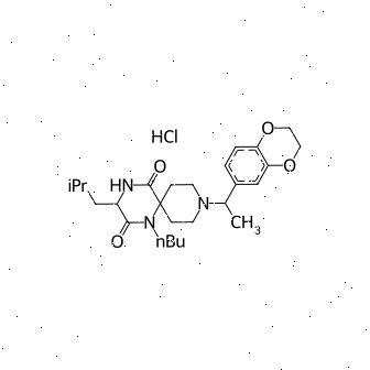 CCCCN1C(=O)C(CC(C)C)NC(=O)C12CCN(C(C)c1ccc3c(c1)OCCO3)CC2.Cl